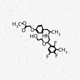 COC(=O)COc1ccc(CC(C)NCC(OCCO)c2cc(F)c(F)c(C)c2F)cc1